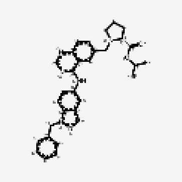 CCCC(F)OC(=O)[C@H]1CCCN1Cc1ccc2ncnc(Nc3ccc4c(cnn4Cc4ccccc4)c3)c2c1